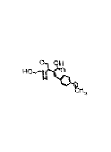 COc1ccc(/C=C(\C(=O)O)C(C=O)NCCO)cc1